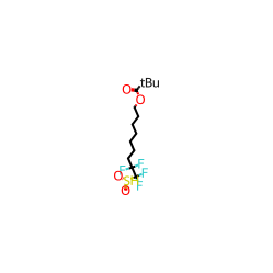 CC(C)(C)C(=O)OCCCCCCCC(F)(F)C(F)(F)[SH](=O)=O